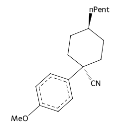 CCCCC[C@H]1CC[C@@](C#N)(c2ccc(OC)cc2)CC1